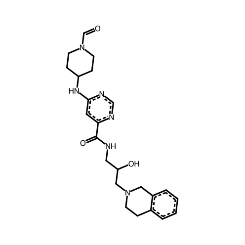 O=CN1CCC(Nc2cc(C(=O)NCC(O)CN3CCc4ccccc4C3)ncn2)CC1